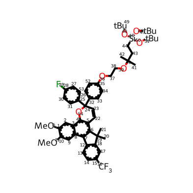 COc1cc2c3c(c4c(c2cc1OC)-c1ccc(C(F)(F)F)cc1C4(C)C)C=CC(c1ccc(F)cc1)(c1ccc(OCCOC(C)(C)CC[Si](OC(C)(C)C)(OC(C)(C)C)OC(C)(C)C)cc1)O3